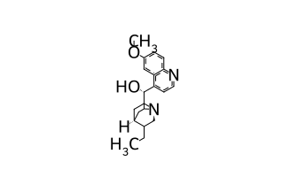 CCC1C[N@]2CC[C@H]1CC2[C@H](O)c1ccnc2ccc(OC)cc12